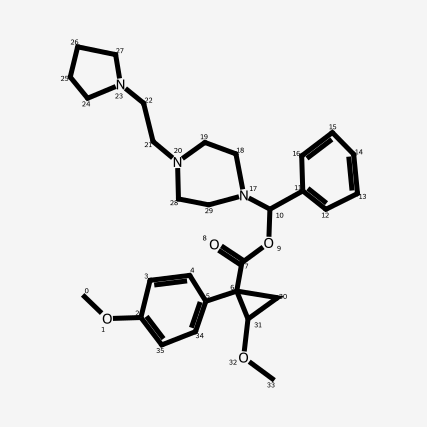 COc1ccc(C2(C(=O)OC(c3ccccc3)N3CCN(CCN4CCCC4)CC3)CC2OC)cc1